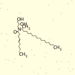 CCCCCC=CCCC(=O)N(CC(O)CO)C(C)CCCCCCCCCCCCCCC